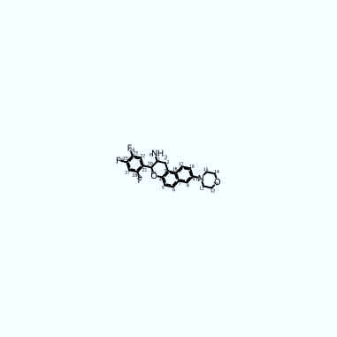 NC1Cc2c(ccc3cc(N4CCOCC4)ccc23)OC1c1cc(F)c(F)cc1F